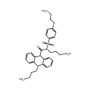 O=C(O)CCCc1ccc(S(=O)(=O)N(CCCS(=O)(=O)O)C(=O)C2c3ccccc3N(CCCS(=O)(=O)O)c3ccccc32)cc1